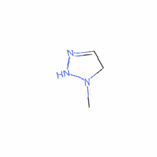 CN1CC=NN1